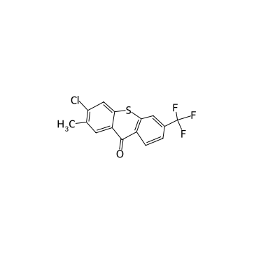 Cc1cc2c(=O)c3ccc(C(F)(F)F)cc3sc2cc1Cl